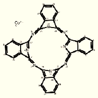 [Co+2].c1ccc2c(c1)-c1nc-2nc2[n-]c(nc3nc(nc4[n-]c(n1)c1ccccc41)-c1ccccc1-3)c1ccccc21